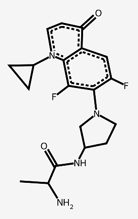 CC(N)C(=O)NC1CCN(c2c(F)cc3c(=O)ccn(C4CC4)c3c2F)C1